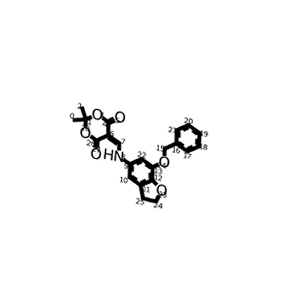 CC1(C)OC(=O)C(=CNc2cc3c(c(OCc4ccccc4)c2)OCC3)C(=O)O1